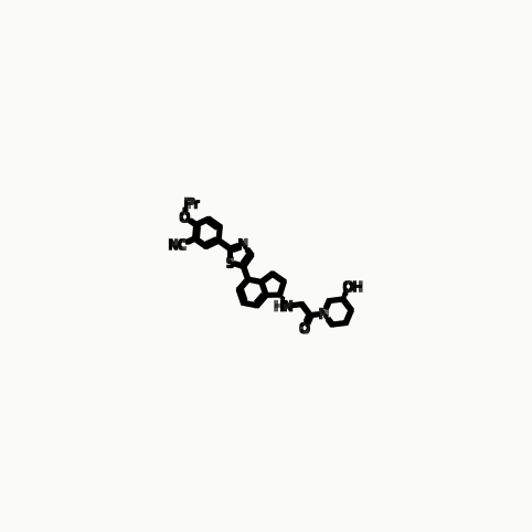 CC(C)Oc1ccc(-c2ncc(C3C=CC=C4C3CC[C@@H]4NCC(=O)N3CCC[C@H](O)C3)s2)cc1C#N